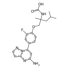 CC(C)CC(C)(COc1ccc(-c2cc(N)nc3ccnn23)cc1F)NC(=O)O